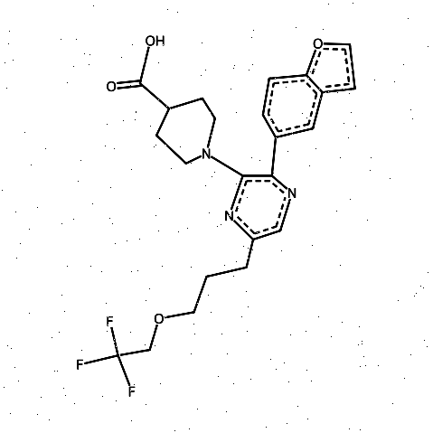 O=C(O)C1CCN(c2nc(CCCOCC(F)(F)F)cnc2-c2ccc3occc3c2)CC1